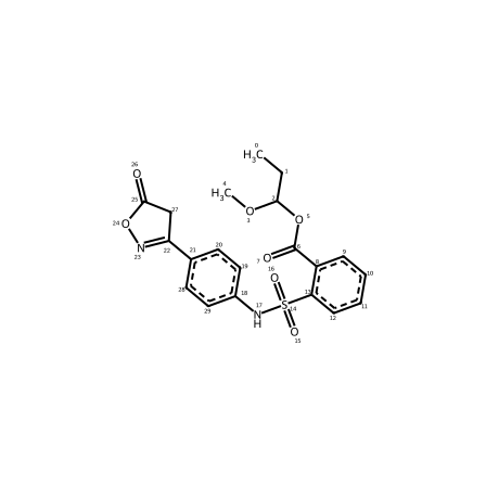 CCC(OC)OC(=O)c1ccccc1S(=O)(=O)Nc1ccc(C2=NOC(=O)C2)cc1